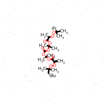 C=C(OOC(C)(C)CC(C)(C)C)C(=O)OC(C)(C)OC(=O)OC(C)(C)OC(=O)C(=C)OOC(C)(C)C(C)C